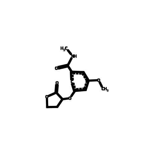 CNC(=O)c1cc(OC)cc(OC2CCOC2=O)c1